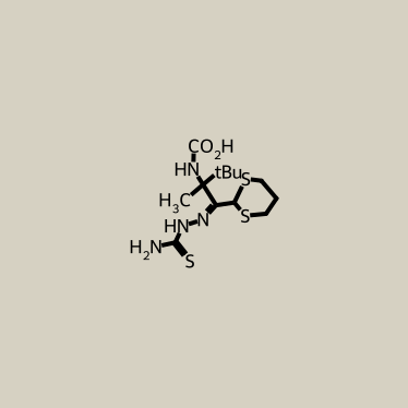 CC(C)(C)C(C)(NC(=O)O)C(=NNC(N)=S)C1SCCCS1